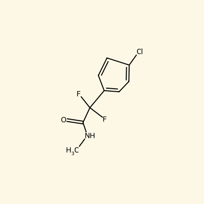 CNC(=O)C(F)(F)c1ccc(Cl)cc1